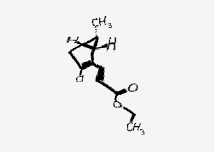 CCOC(=O)/C=C/C1=C(Cl)C[C@@H]2[C@H](C)[C@H]12